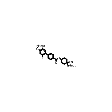 CCCCCCCOc1ccc(-c2ccc(C(=O)OC3CCC(C#N)(CCCCCCC)CC3)cc2)c(F)c1